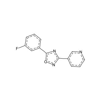 Fc1cccc(-c2nc(-c3cccnc3)no2)c1